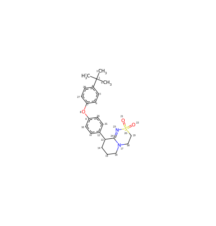 CC(C)(C)c1ccc(Oc2ccc(C3CCCN4CCS(=O)(=O)N=C34)cc2)cc1